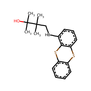 CC(C)(O)C(C)(C)CBc1cccc2c1Sc1ccccc1S2